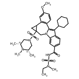 CCN(C)S(=O)(=O)NC(=O)c1ccc2c(C3CCCCC3)c3n(c2c1)CC1(S(=O)(=O)N2C[C@@H](C)N(C)[C@@H](C)C2)CC1c1cc(OC)ccc1-3